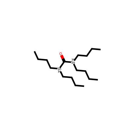 CCC[CH2][SnH]([CH2]CCC)[C](=O)[SnH]([CH2]CCC)[CH2]CCC